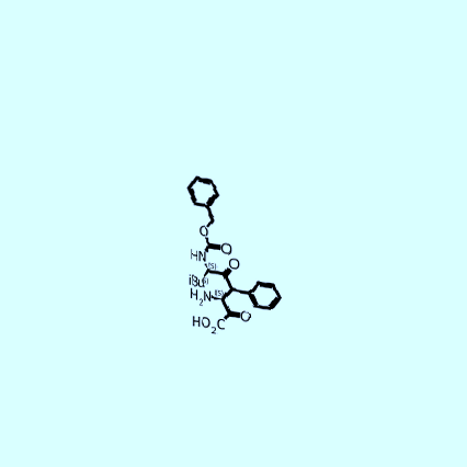 CC[C@H](C)[C@H](NC(=O)OCc1ccccc1)C(=O)C(c1ccccc1)[C@H](N)C(=O)C(=O)O